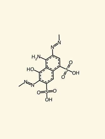 CN=Nc1cc(S(=O)(=O)O)c2cc(S(=O)(=O)O)c(N=NC)c(O)c2c1N